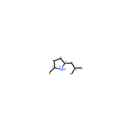 CC(C)CC1CCC(C)N1